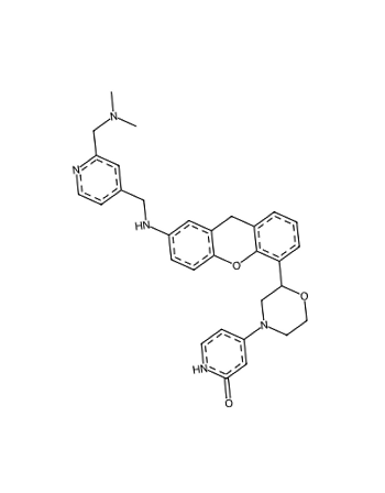 CN(C)Cc1cc(CNc2ccc3c(c2)Cc2cccc(C4CN(c5cc[nH]c(=O)c5)CCO4)c2O3)ccn1